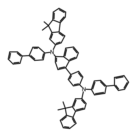 CC1(C)c2ccccc2-c2ccc(N(c3ccc(-c4ccccc4)cc3)c3ccc(-c4ccc(N(c5ccc(-c6ccccc6)cc5)c5ccc6c(c5)C(C)(C)c5ccccc5-6)c5ccccc45)cc3)cc21